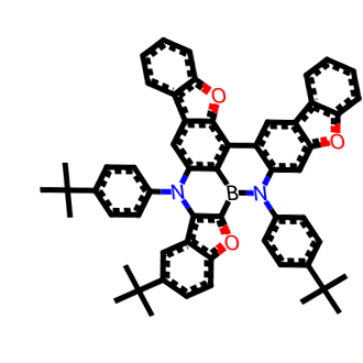 CC(C)(C)c1ccc(N2B3c4oc5ccc(C(C)(C)C)cc5c4N(c4ccc(C(C)(C)C)cc4)c4cc5c(oc6ccccc65)c(c43)-c3cc4c(cc32)oc2ccccc24)cc1